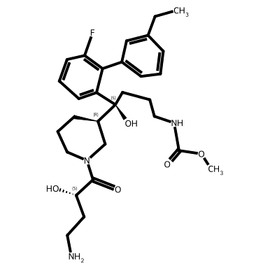 CCc1cccc(-c2c(F)cccc2[C@](O)(CCCNC(=O)OC)[C@@H]2CCCN(C(=O)[C@@H](O)CCN)C2)c1